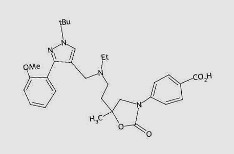 CCN(CCC1(C)CN(c2ccc(C(=O)O)cc2)C(=O)O1)Cc1cn(C(C)(C)C)nc1-c1ccccc1OC